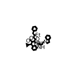 CCC(Cc1ccccc1)C1OC(=O)C(C(c2cccc(NC(=O)CCn3ccc4ccccc43)c2)C2CC2)=C(O)C1=O